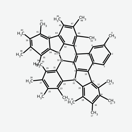 Cc1ccc2c(c1)c1c3c4c2c2c(C)c(C)c(C)c(C)c2n4-c2c(C)c(C)c(C)c(C)c2B3n2c3c(C)c(C)c(C)c(C)c3c3c(C)c(C)c(C)c-1c32